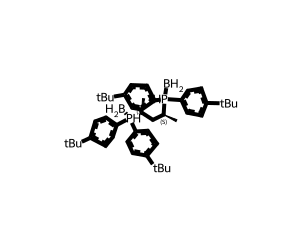 B[PH](c1ccc(C(C)(C)C)cc1)(c1ccc(C(C)(C)C)cc1)[C@@H](C)C[C@H](C)[PH](B)(c1ccc(C(C)(C)C)cc1)c1ccc(C(C)(C)C)cc1